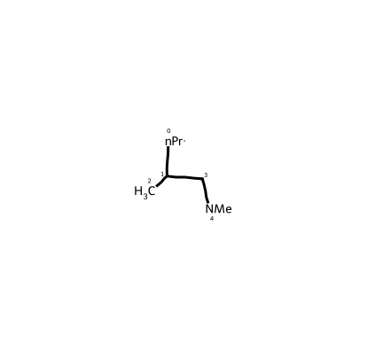 CC[CH]C(C)CNC